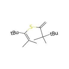 C=C(SC(=C(C)C)C(C)(C)C)C(C)(C)C(C)(C)C